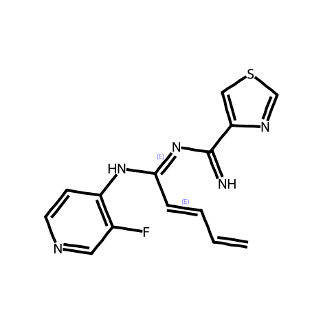 C=C/C=C/C(=N\C(=N)c1cscn1)Nc1ccncc1F